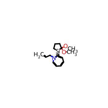 C=CCN1C=CC=CC=C1[SiH]1CCCC1(OC)OC